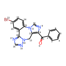 O=C(c1ccccc1)c1ncn2c1Cn1ncnc1-c1cc(Br)ccc1-2